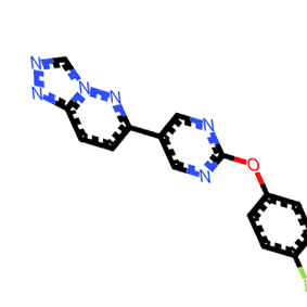 Fc1ccc(Oc2ncc(-c3ccc4nncn4n3)cn2)cc1